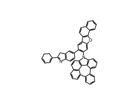 C1=CCCC(C2=Nc3ccc(-c4cc5c(cc4-n4c6cccc7c6c6c8c(cccc8ccc64)-c4ccccc4-7)oc4c6ccccc6ccc54)cc3C2)=C1